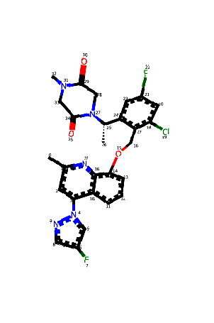 Cc1cc(-n2cc(F)cn2)c2cccc(OCc3c(Cl)cc(F)cc3[C@H](C)N3CC(=O)N(C)CC3=O)c2n1